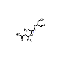 CC(CC(=O)O)N/C(N)=N/SC(C=O)CO